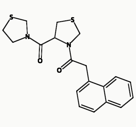 O=C(C1CSCN1C(=O)Cc1cccc2ccccc12)N1CCSC1